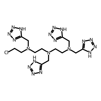 ClCCN(CCN(CCN(Cc1nnn[nH]1)Cc1nnn[nH]1)Cc1nnn[nH]1)Cc1nnn[nH]1